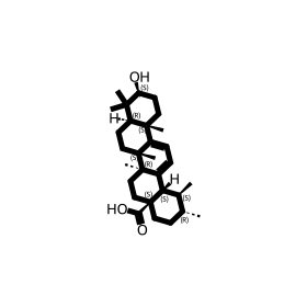 C[C@H]1[C@H](C)CC[C@]2(C(=O)O)CC[C@]3(C)C(=CC=C4[C@@]5(C)CC[C@H](O)C(C)(C)[C@@H]5CC[C@]43C)[C@H]12